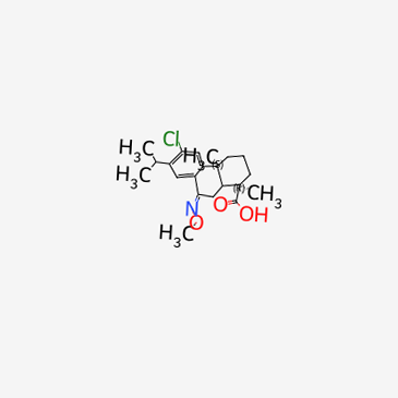 CON=C1CC2[C@](C)(C(=O)O)CCC[C@]2(C)c2cc(Cl)c(C(C)C)cc21